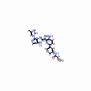 Cc1cn(-c2nccc3[nH]c(-c4n[nH]c5ccc(-c6cncc(NC(=O)CC(C)(C)C)c6)nc45)nc23)cn1